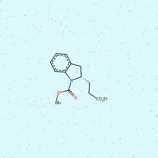 CCOC(=O)CC[C@H]1Cc2ccccc2N1C(=O)OC(C)(C)C